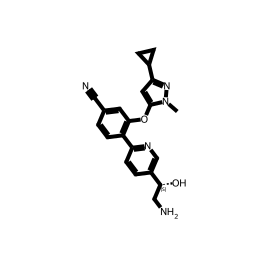 Cn1nc(C2CC2)cc1Oc1cc(C#N)ccc1-c1ccc([C@H](O)CN)cn1